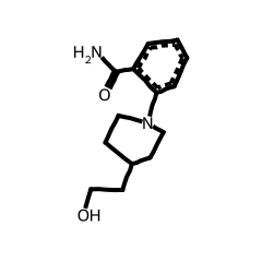 NC(=O)c1ccccc1N1CCC(CCO)CC1